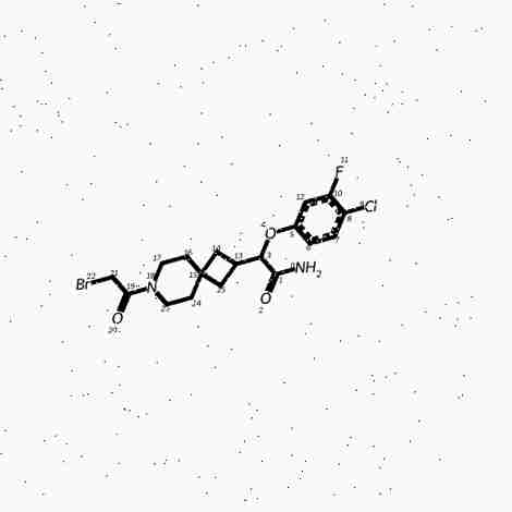 NC(=O)C(Oc1ccc(Cl)c(F)c1)C1CC2(CCN(C(=O)CBr)CC2)C1